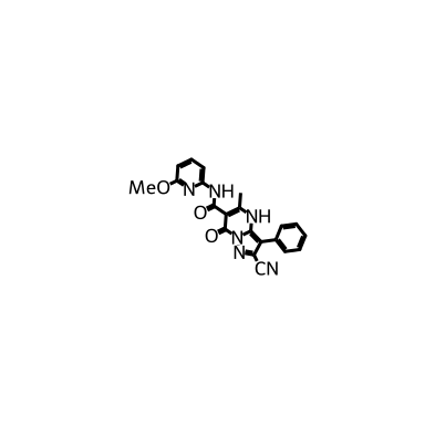 COc1cccc(NC(=O)c2c(C)[nH]c3c(-c4ccccc4)c(C#N)nn3c2=O)n1